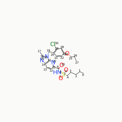 CCCCCS(=O)(=O)NC(=O)c1ccc2nc(C)n(Cc3ccc(OCCC)cc3Cl)c2n1